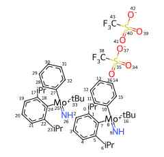 CC(C)c1cccc(C(C)C)[c]1[Mo+](=[NH])([c]1ccccc1)[C](C)(C)C.CC(C)c1cccc(C(C)C)[c]1[Mo+](=[NH])([c]1ccccc1)[C](C)(C)C.O=S(=O)([O-])C(F)(F)F.O=S(=O)([O-])C(F)(F)F